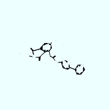 Cc1cc2c(c([C@H](C)C(=O)Nc3ccc(-c4cccnc4)nn3)c1)C(=O)N(C)C2=O